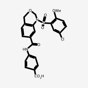 COc1ccc(Cl)cc1S(=O)(=O)N1COCc2ccc(C(=O)Nc3ccc(C(=O)O)cc3)cc21